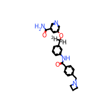 [2H]C([2H])(Oc1cncc(C(N)=O)c1)c1cccc(NC(=O)c2ccc(CN3CCC3)cc2)c1